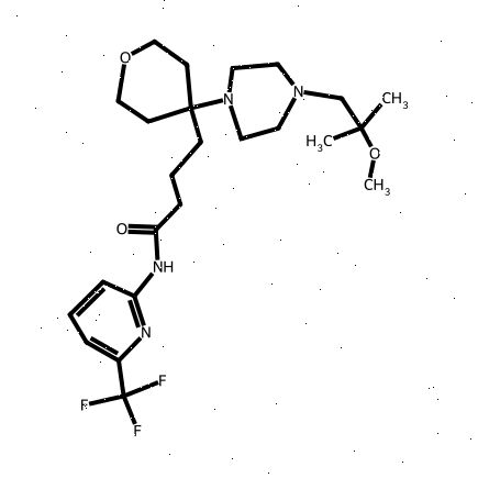 COC(C)(C)CN1CCN(C2(CCCC(=O)Nc3cccc(C(F)(F)F)n3)CCOCC2)CC1